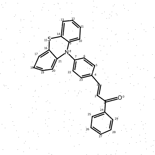 O=C(C=Cc1ccc(N2c3ccccc3Sc3ccccc32)cc1)c1ccccc1